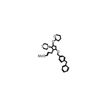 COC=CCC1C(OCc2ccc(Cc3ccccc3)cc2)CC(OC2CCCCO2)C1N1CCSCC1